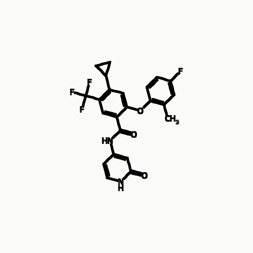 Cc1cc(F)ccc1Oc1cc(C2CC2)c(C(F)(F)F)cc1C(=O)Nc1cc[nH]c(=O)c1